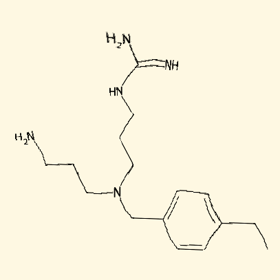 CCc1ccc(CN(CCCN)CCCNC(=N)N)cc1